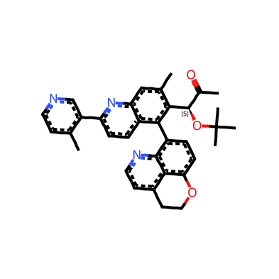 CC(=O)[C@@H](OC(C)(C)C)c1c(C)cc2nc(-c3cnccc3C)ccc2c1-c1ccc2c3c(ccnc13)CCO2